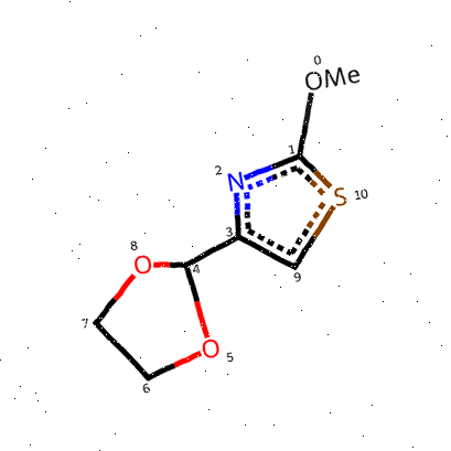 COc1nc(C2OCCO2)cs1